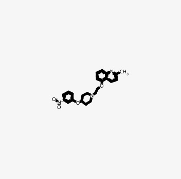 Cc1ccc2c(OCCN3CCC(Oc4cccc([N+](=O)[O-])c4)CC3)cccc2n1